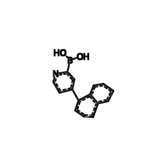 OB(O)c1cc(-c2cccc3ccccc23)ccn1